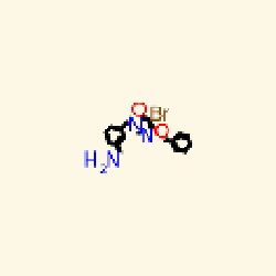 NCc1cccc(Cn2cnc(OCc3ccccc3)c(Br)c2=O)c1